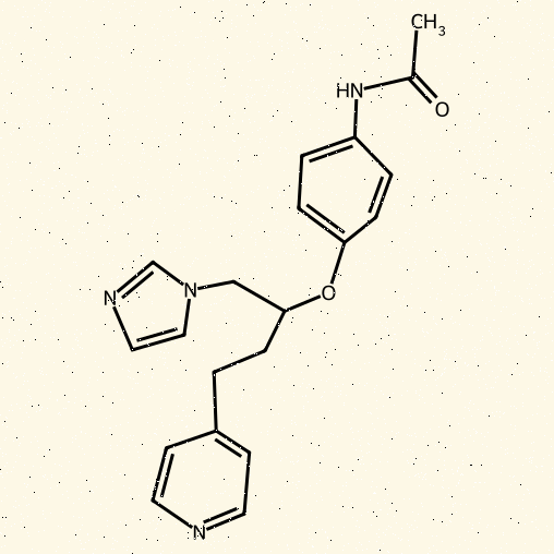 CC(=O)Nc1ccc(OC(CCc2ccncc2)Cn2ccnc2)cc1